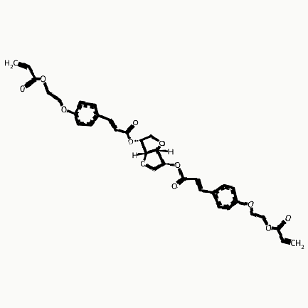 C=CC(=O)OCCOc1ccc(/C=C/C(=O)O[C@H]2CO[C@H]3[C@@H]2OC[C@H]3OC(=O)/C=C/c2ccc(OCCOC(=O)C=C)cc2)cc1